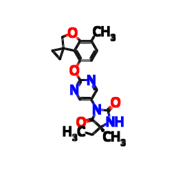 CC[C@@]1(C)NC(=O)N(c2cnc(Oc3ccc(C)c4c3C3(CC3)CO4)nc2)C1=O